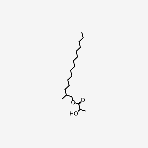 CCCCCCCCCCCCCC(C)COC(=O)C(C)O